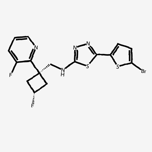 Fc1cccnc1[C@]1(CNc2nnc(-c3ccc(Br)s3)s2)C[C@@H](F)C1